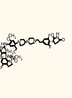 CCc1cc(Nc2ncc(Br)c(Nc3ccc(F)c4c3N(S(C)(=O)=O)CC4)n2)c(OC)cc1N1CCC(N2CCN(CCc3cc(F)c([C@H]4CCC(=O)NC4=O)c(F)c3)CC2)CC1